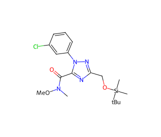 CON(C)C(=O)c1nc(CO[Si](C)(C)C(C)(C)C)nn1-c1cccc(Cl)c1